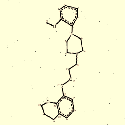 COc1ccccc1N1CCN(CCOSc2cccc3c2OCCC3)CC1